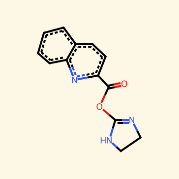 O=C(OC1=NCCN1)c1ccc2ccccc2n1